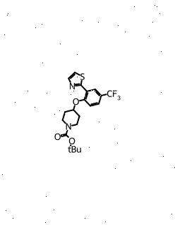 CC(C)(C)OC(=O)N1CCC(Oc2ccc(C(F)(F)F)cc2-c2nccs2)CC1